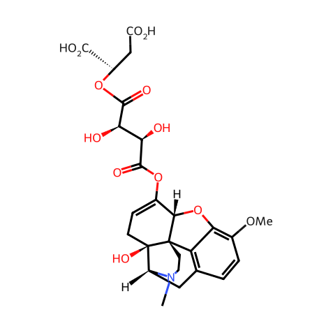 COc1ccc2c3c1O[C@H]1C(OC(=O)[C@H](O)[C@@H](O)C(=O)O[C@@H](CC(=O)O)C(=O)O)=CC[C@@]4(O)[C@@H](C2)N(C)CC[C@]314